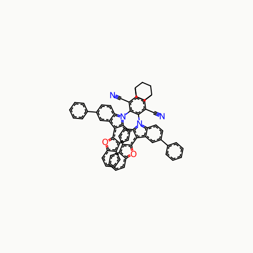 N#Cc1c2c(c(C#N)c(-n3c4ccc(-c5ccccc5)cc4c4c5oc6ccccc6c5ccc43)c1-n1c3ccc(-c4ccccc4)cc3c3c4oc5ccccc5c4ccc31)C1CCC2CC1